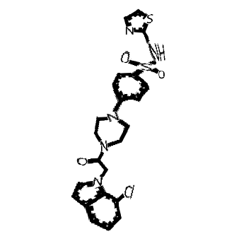 O=C(Cn1ccc2cccc(Cl)c21)N1CCN(c2ccc(S(=O)(=O)Nc3nccs3)cc2)CC1